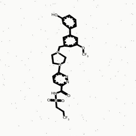 O=C(NS(=O)(=O)CCC(F)(F)F)c1ccc(N2CCN(Cc3cc(OC(F)(F)F)cc(-c4cccc(O)c4)c3)CC2)nn1